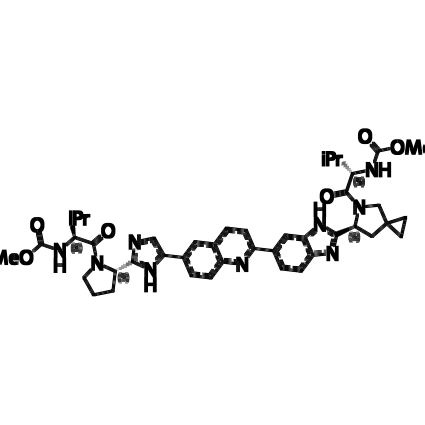 COC(=O)N[C@H](C(=O)N1CCC[C@H]1c1ncc(-c2ccc3nc(-c4ccc5nc([C@@H]6CC7(CC7)CN6C(=O)[C@@H](NC(=O)OC)C(C)C)[nH]c5c4)ccc3c2)[nH]1)C(C)C